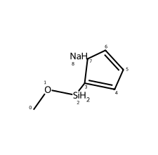 CO[SiH2]C1=CC=CC1.[NaH]